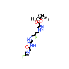 CC(C)(C)OC(=O)c1cn(CCC(F)Cn2cc(NC(=O)CN3CC(F)C3)nn2)nn1